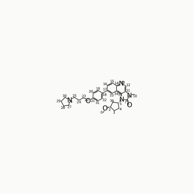 CO[C@@H]1CC[C@@H](n2c(=O)n(C)c3cnc4ccc(-c5ccc(OCCCN6CCCC6)cc5)cc4c32)C1